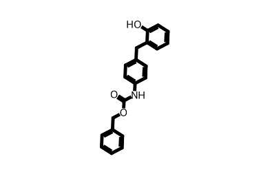 O=C(Nc1ccc(Cc2ccccc2O)cc1)OCc1ccccc1